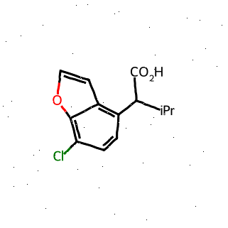 CC(C)C(C(=O)O)c1ccc(Cl)c2occc12